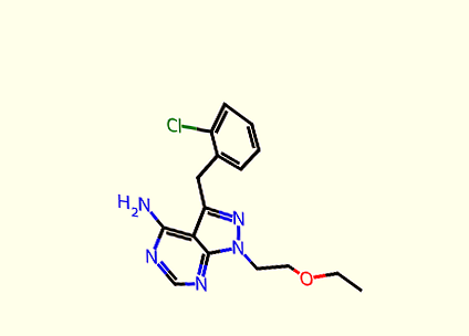 CCOCCn1nc(Cc2ccccc2Cl)c2c(N)ncnc21